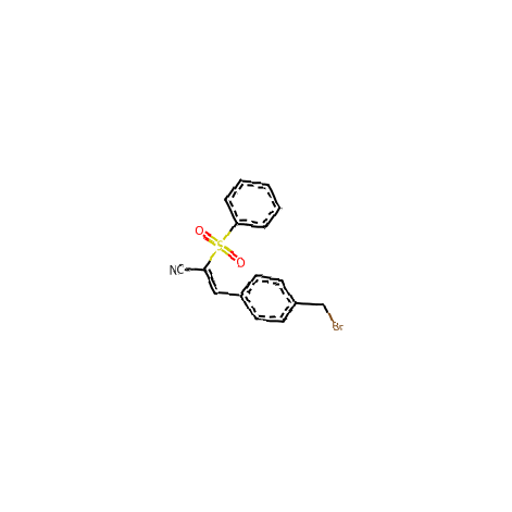 N#CC(=Cc1ccc(CBr)cc1)S(=O)(=O)c1ccccc1